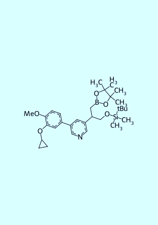 COc1ccc(-c2cncc(C(CO[Si](C)(C)C(C)(C)C)CB3OC(C)(C)C(C)(C)O3)c2)cc1OC1CC1